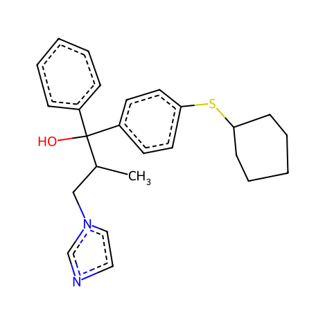 CC(Cn1ccnc1)C(O)(c1ccccc1)c1ccc(SC2CCCCC2)cc1